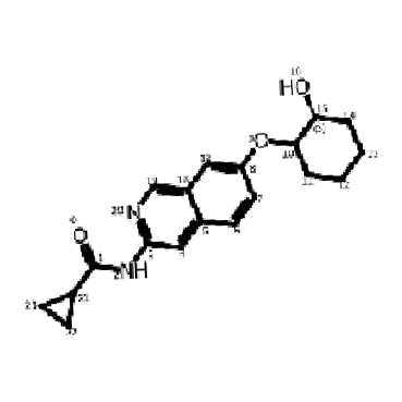 O=C(Nc1cc2ccc(OC3CCCC[C@@H]3O)cc2cn1)C1CC1